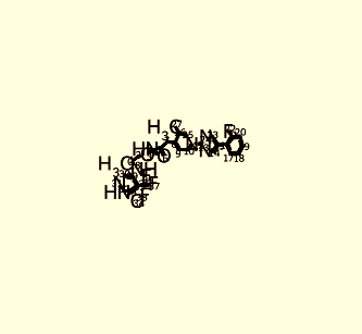 CC(CONC(=O)CC1=CCN(c2ncc(-c3ccccc3F)cn2)CC1C)Nc1cn[nH]c(=O)c1C(F)(F)F